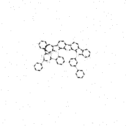 c1ccc(-c2cccc(-n3c4ccccc4c4ccc5c6ccc7c8ccccc8n(-c8ccccc8-c8nc(-c9ccccc9)nc(-c9ccccc9)n8)c7c6sc5c43)c2)cc1